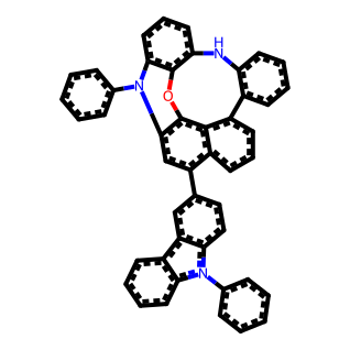 c1ccc(N2c3cccc4c3Oc3c2cc(-c2ccc5c(c2)c2ccccc2n5-c2ccccc2)c2cccc(c32)-c2ccccc2N4)cc1